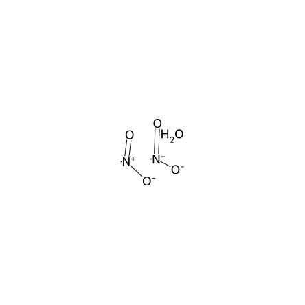 O.O=[N+][O-].O=[N+][O-]